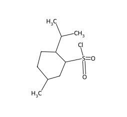 CC1CCC(C(C)C)C(S(=O)(=O)Cl)C1